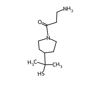 CC(C)(S)C1CCN(C(=O)CCN)CC1